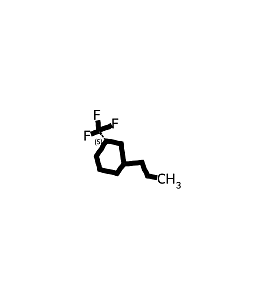 CCCC1CCC[C@H](C(F)(F)F)C1